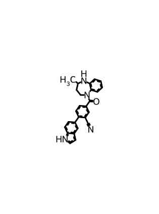 CC1CCN(C(=O)c2ccc(-c3ccc4[nH]ccc4c3)c(C#N)c2)c2ccccc2N1